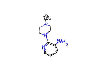 CC(C)(C)N1CCN(c2ncccc2N)CC1